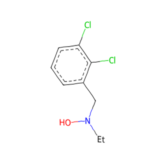 CCN(O)Cc1cccc(Cl)c1Cl